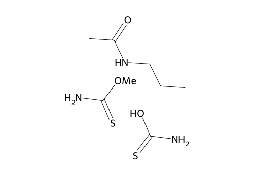 CCCNC(C)=O.COC(N)=S.NC(O)=S